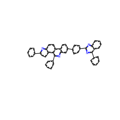 c1ccc(-c2ccc3c(ccc4c5ccc(-c6ccc(-c7nc(-c8ccccc8)c8ccccc8n7)cc6)cc5nc(-c5ccccc5)c34)n2)cc1